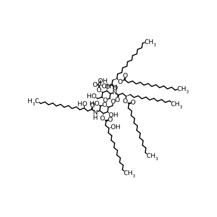 CCCCCCCCCCCCCCC(=O)O[C@H](CCCCCCCCCCCC)CC(=O)NC1[C@H](OCC2OC(O)C(NC(=O)C[C@H](O)CCCCCCCCCCCC)[C@@H](OC(=O)C[C@H](O)CCCCCCCCCCCC)[C@@H]2O)OC(CO)[C@@H](OP(=O)(O)O)[C@@H]1OC(=O)C[C@@H](CCCCCCCCCCCC)OC(=O)CCCCCCCCCCCCCC